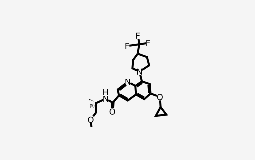 COC[C@H](C)NC(=O)c1cnc2c(N3CCC(C(F)(F)F)CC3)cc(OC3CC3)cc2c1